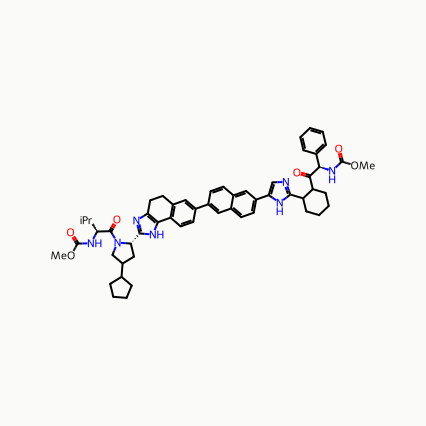 COC(=O)N[C@H](C(=O)N1CC(C2CCCC2)C[C@H]1c1nc2c([nH]1)-c1ccc(-c3ccc4cc(-c5cnc(C6CCCCC6C(=O)[C@H](NC(=O)OC)c6ccccc6)[nH]5)ccc4c3)cc1CC2)C(C)C